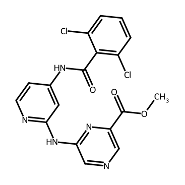 COC(=O)c1cncc(Nc2cc(NC(=O)c3c(Cl)cccc3Cl)ccn2)n1